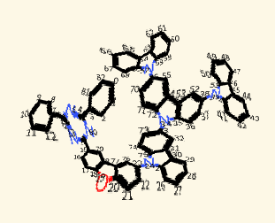 c1ccc(-c2nc(-c3ccccc3)nc(-c3ccc4oc5ccc(-n6c7ccccc7c7cc(-n8c9ccc(-n%10c%11ccccc%11c%11ccccc%11%10)cc9c9cc(-n%10c%11ccccc%11c%11ccccc%11%10)ccc98)ccc76)cc5c4c3)n2)cc1